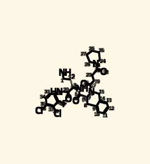 NCC[C@H](NC(=O)[C@@H]1Cc2ccccc2CN1C(=O)CCC(=O)N1CCCCC1)C(=O)Nc1ccc(Cl)c(Cl)c1F